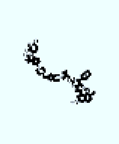 CCc1c(F)ccc2cc(O)cc(-c3ncc4c(C5CC6CCC(C5)N6)nc(OCC5(CN6CCC7(CC6)CC(CN6CCN(c8ccc9c(c8)C(C)(C)C(=O)N9C8CCC(=O)NC8=O)CC6)C7)CC5)nc4c3F)c12